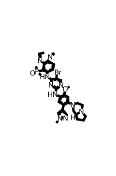 C=Nc1ccc(Nc2nc(Nc3cc(-c4cnn(C)c4)c(N4CCN5CCC[C@@H]5C4)cc3OC)ncc2Br)c(P(C)(C)=O)c1/N=C\C